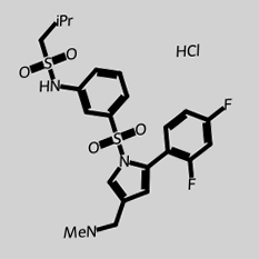 CNCc1cc(-c2ccc(F)cc2F)n(S(=O)(=O)c2cccc(NS(=O)(=O)CC(C)C)c2)c1.Cl